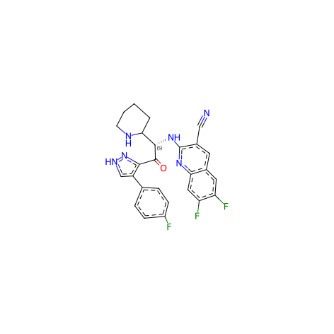 N#Cc1cc2cc(F)c(F)cc2nc1N[C@H](C(=O)c1n[nH]cc1-c1ccc(F)cc1)C1CCCCN1